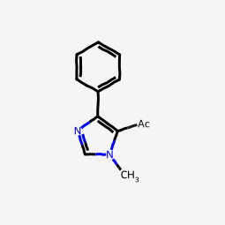 CC(=O)c1c(-c2ccccc2)ncn1C